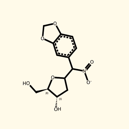 O=[N+]([O-])C(c1ccc2c(c1)OCO2)C1C[C@H](O)[C@@H](CO)O1